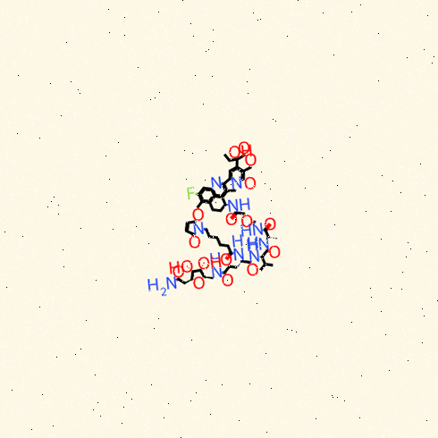 CC[C@@]1(O)C(=O)OCc2c1cc1n(c2=O)Cc2c-1nc1cc(F)c(C)c3c1c2[C@@H](NC(=O)COCNC(=O)[C@H](C)NC(=O)[C@@H](NC(=O)[C@H](CCC(=O)NC[C@H]1O[C@@H](CC(N)=O)[C@H](O)[C@@H]1O)NC(=O)CCCCCN1C(=O)C=CC1=O)C(C)C)CC3